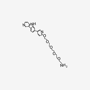 NCCOCCOCCOCCOCCOc1ccc(-c2ccc3c(c2)[nH]c2ccncc23)cn1